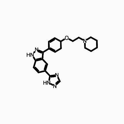 C1=CC(OCCN2CCCCC2)CC=C1c1n[nH]c2ccc(-c3ncn[nH]3)cc12